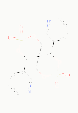 O=S1(=O)OCC2(COS(=O)(=O)OC2c2cccnc2)C(c2cccnc2)O1